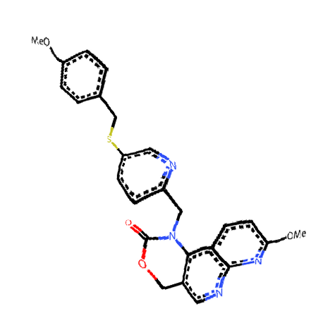 COc1ccc(CSc2ccc(CN3C(=O)OCc4cnc5nc(OC)ccc5c43)nc2)cc1